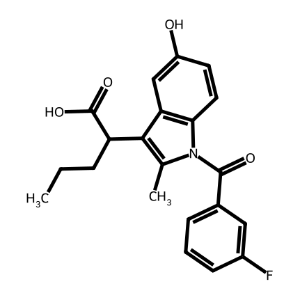 CCCC(C(=O)O)c1c(C)n(C(=O)c2cccc(F)c2)c2ccc(O)cc12